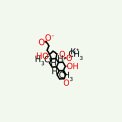 COC(=O)[C@H]1[C@@H]2[C@H](CC[C@@]3(C)[C@H]2CC[C@@]3(O)CCC(=O)[O-])[C@@]2(C)CCC(=O)C=C2[C@@H]1O.[K+]